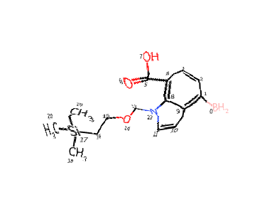 Bc1ccc(C(=O)O)c2c1ccn2COCC[Si](C)(C)C